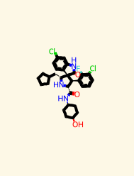 O=C(N[C@H]1CC[C@H](O)CC1)[C@@H]1N[C@H](CC2CCCC2)[C@]2(C(=O)Nc3cc(Cl)ccc32)[C@H]1c1cccc(Cl)c1F